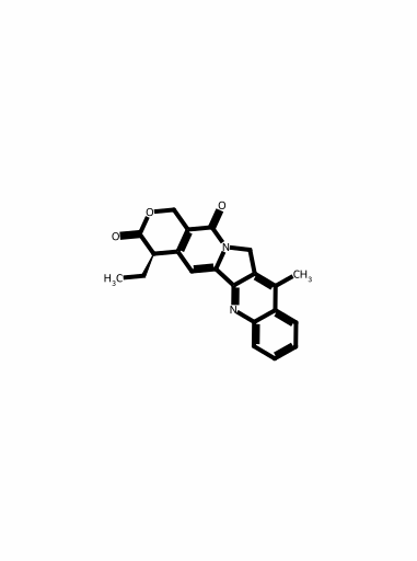 CC[C@H]1C(=O)OCc2c1cc1n(c2=O)Cc2c-1nc1ccccc1c2C